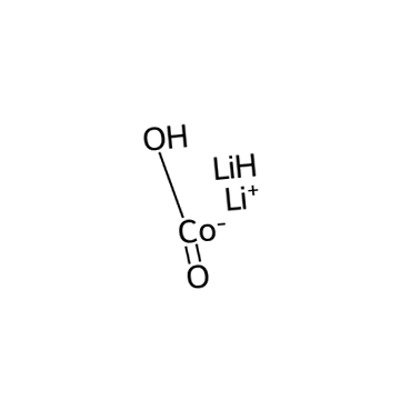 [Li+].[LiH].[O]=[Co-][OH]